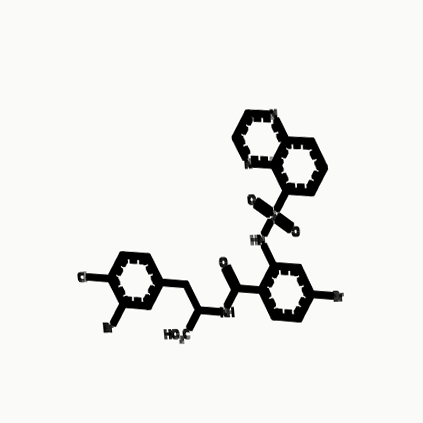 O=C(NC(Cc1ccc(Cl)c(Br)c1)C(=O)O)c1ccc(Br)cc1NS(=O)(=O)c1cccc2nccnc12